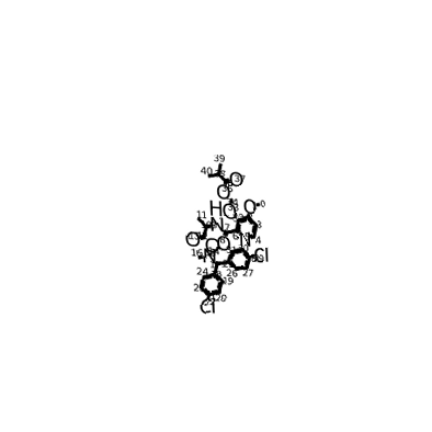 COc1ccnc(C(=O)NC(C)C(=O)ON(C)C(c2ccc(Cl)cc2)c2ccc(Cl)cc2)c1OCOC(=O)C(C)C